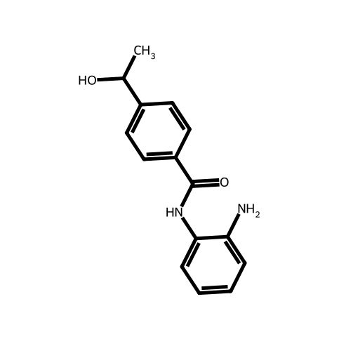 CC(O)c1ccc(C(=O)Nc2ccccc2N)cc1